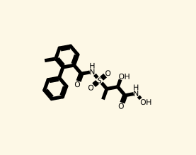 Cc1cccc(C(=O)NS(=O)(=O)C(C)C(O)C(=O)NO)c1-c1ccccc1